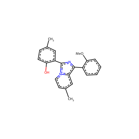 COc1ccccc1-c1nc(-c2cc(C)ccc2O)n2ccc(C)cc12